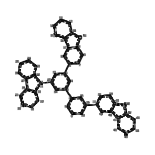 c1cc(-c2cc(-c3ccc4oc5cccnc5c4c3)cc(-n3c4ccccc4c4cnccc43)c2)cc(-c2ccc3sc4ccncc4c3c2)c1